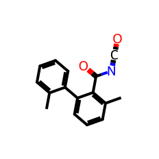 Cc1ccccc1-c1cccc(C)c1C(=O)N=C=O